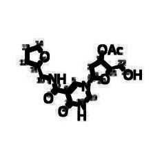 CC(=O)OC1C[C@H](N2C=C(C(=O)NC[C@H]3CCCO3)C(=O)NC2)O[C@@H]1CO